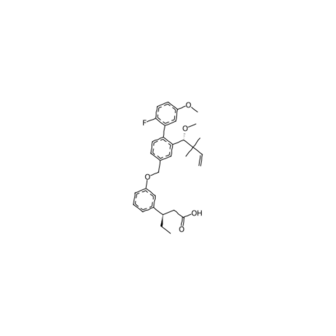 C=CC(C)(C)[C@@H](OC)c1cc(COc2cccc([C@H](CC)CC(=O)O)c2)ccc1-c1cc(OC)ccc1F